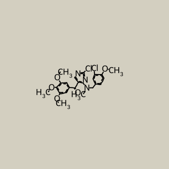 COc1ccc(CN(C)c2nc(Cl)ncc2C(=O)c2cc(OC)c(OC)c(OC)c2)cc1Cl